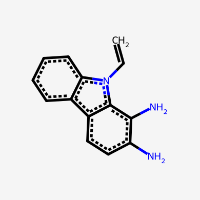 C=Cn1c2ccccc2c2ccc(N)c(N)c21